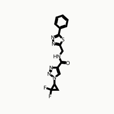 O=C(NCc1nnc(-c2ccccc2)s1)c1cn(C2CC2(F)F)nn1